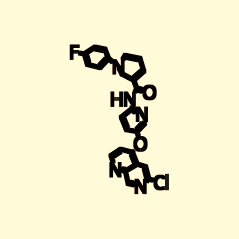 O=C(Nc1ccc(Oc2ccnc3cnc(Cl)cc23)cn1)C1=CC=CN(c2ccc(F)cc2)C1